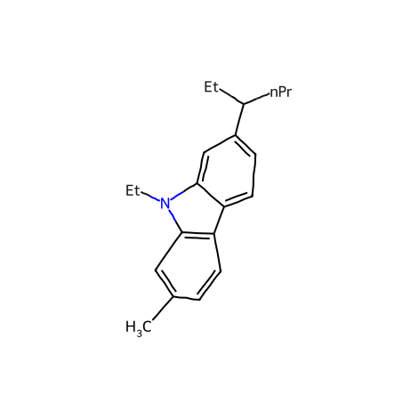 CCCC(CC)c1ccc2c3ccc(C)cc3n(CC)c2c1